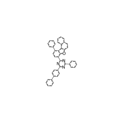 c1ccc(-c2ccc(-c3nc(-c4ccccc4)nc(-c4ccc(-c5ccccc5)c5c4oc4ccc6ccccc6c45)n3)cc2)cc1